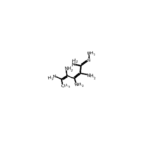 B/N=C(N)/C(N)=C(N)\C(N)=C(/C)N